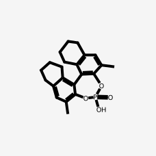 Cc1cc2c(c3c1OP(=O)(O)Oc1c(C)cc4c(c1-3)CCCC4)CCCC2